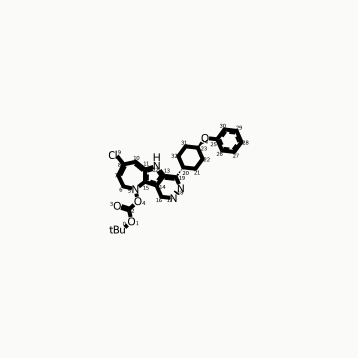 CC(C)(C)OC(=O)ON1CC=C(Cl)C=c2[nH]c3c(c21)CN=NC=3[C@H]1CC[C@H](Oc2ccccc2)CC1